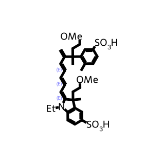 C=C(/C=C/C=C/C=C1/N(CC)c2ccc(S(=O)(=O)O)cc2C1(C)CCOC)C(C)(CCOC)c1cc(S(=O)(=O)O)ccc1C